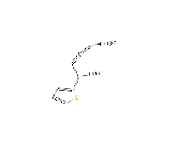 CCOC(=O)C=C=CC(OC(C)=O)c1cccs1